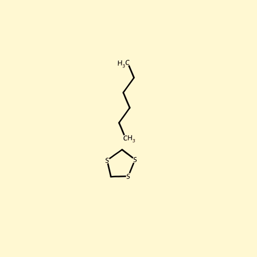 C1SCSS1.CCCCCC